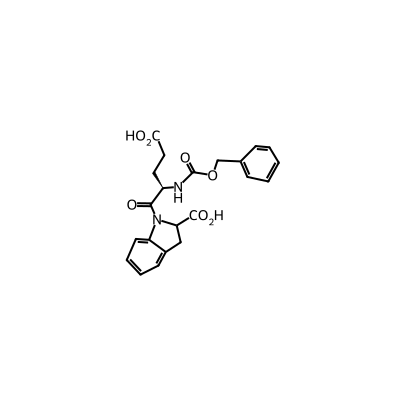 O=C(O)CC[C@@H](NC(=O)OCc1ccccc1)C(=O)N1c2ccccc2CC1C(=O)O